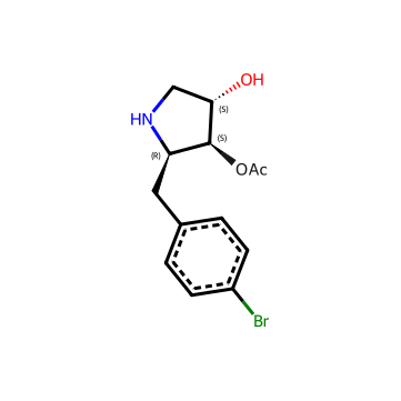 CC(=O)O[C@@H]1[C@@H](O)CN[C@@H]1Cc1ccc(Br)cc1